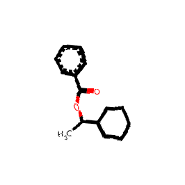 CC(OC(=O)c1ccccc1)C1CCCCC1